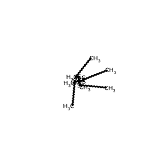 CCCCCCCCCCCCCCCCCCC(C)C(=S)OCC(COC(=S)C(C)CCCCCCCCCCCCCCCCCC)(COC(=S)C(C)CCCCCCCCCCCCCCCCCC)COC(=S)C(C)CCCCCCCCCCCCCCCCCC